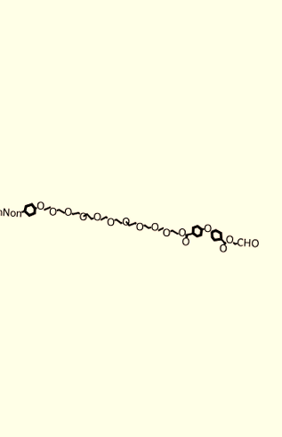 CCCCCCCCCc1ccc(OCCOCCOCCOCCOCCOCCOCCOCCOCCOCCOC(=O)c2ccc(Oc3ccc(C(=O)OCC=O)cc3)cc2)cc1